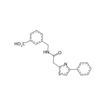 O=C(Cc1nc(-c2ccccc2)cs1)NCc1cccc(C(=O)O)c1